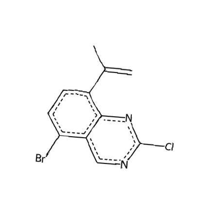 C=C(C)c1ccc(Br)c2cnc(Cl)nc12